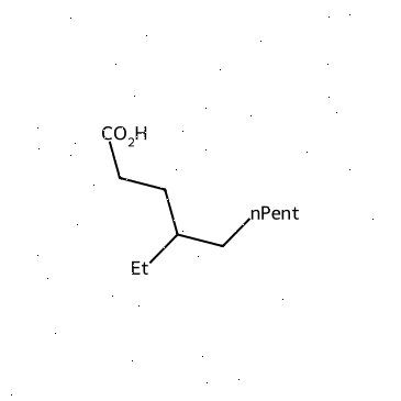 CCCCCCC(CC)CCC(=O)O